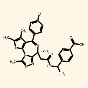 Cc1sc2c(c1C)C(c1ccc(Cl)cc1)=N[C@@](C)(CC(=O)NC(C)c1ccc(C(=O)O)cc1)c1nnc(C)n1-2